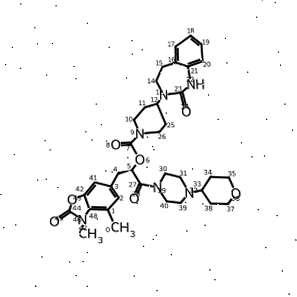 Cc1cc(C[C@@H](OC(=O)N2CCC(N3CCc4ccccc4NC3=O)CC2)C(=O)N2CCN(C3CCOCC3)CC2)cc2oc(=O)n(C)c12